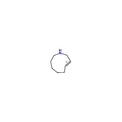 C1=C/CNCCCCC/1